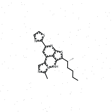 CCCC[C@@H](C)c1sc2nc(-c3nccs3)cc3c2c1[nH]n1c(C)ncc31